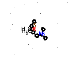 CC1(C)c2ccc(-c3cccc(-c4cc(-c5ccccc5)nc(-c5ccccc5)n4)c3)cc2Oc2c1ccc1c2sc2ccccc21